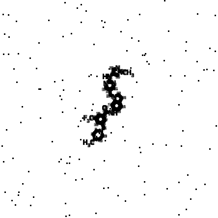 CN1CCN(Cc2cc(C(=O)Nc3ccc4c(c3)N(Cc3cnc(Nc5cnn(C)c5)nc3)CC4)cc(C(F)(F)F)c2)CC1